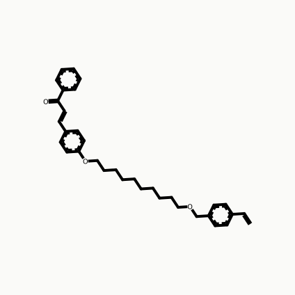 C=Cc1ccc(COCCCCCCCCCCOc2ccc(C=CC(=O)c3ccccc3)cc2)cc1